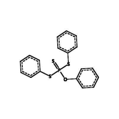 S=P(Oc1ccccc1)(Sc1ccccc1)Sc1ccccc1